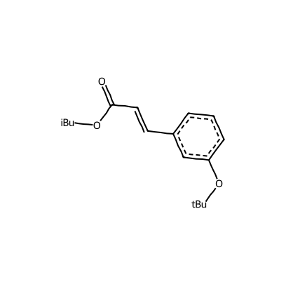 CCC(C)OC(=O)C=Cc1cccc(OC(C)(C)C)c1